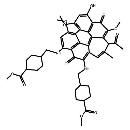 COC(=O)C1CCC(CNc2c3c4c5c(c(OC)c(=O)c6c(O)cc(OC)c(c7c(OC)cc(NCC8CCC(C(=O)OC)CC8)c(c2=O)c74)c65)C(C(C)=O)C(C)=C3)CC1